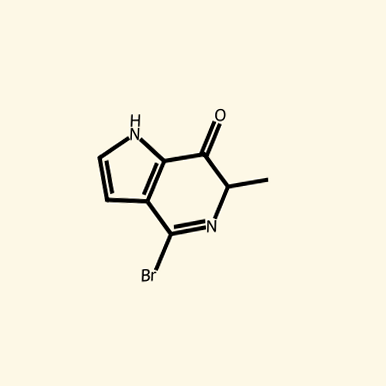 CC1N=C(Br)c2cc[nH]c2C1=O